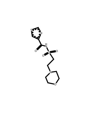 O=C(NS(=O)(=O)CCN1CCOCC1)c1cscn1